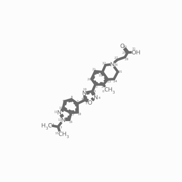 Cc1c(-c2noc(-c3ccc4nn(C(C)C)cc4c3)n2)ccc2c1CCN(CCC(=O)O)C2